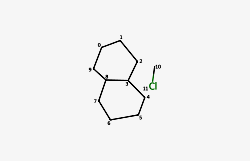 C1CCC2CCCCC2C1.CCl